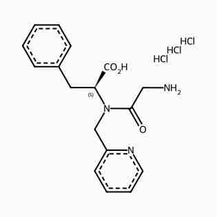 Cl.Cl.Cl.NCC(=O)N(Cc1ccccn1)[C@@H](Cc1ccccc1)C(=O)O